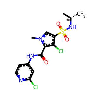 C[C@@H](NS(=O)(=O)c1cn(C)c(C(=O)Nc2ccnc(Cl)c2)c1Cl)C(F)(F)F